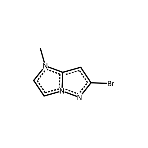 Cn1ccn2nc(Br)cc12